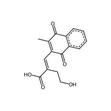 CC1=C(/C=C(\CCO)C(=O)O)C(=O)c2ccccc2C1=O